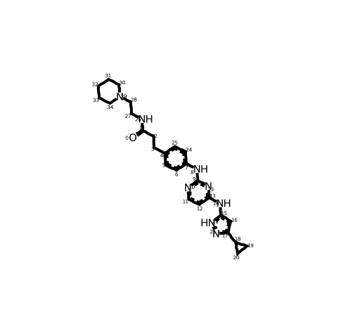 O=C(CCc1ccc(Nc2nccc(Nc3cc(C4CC4)n[nH]3)n2)cc1)NCCN1CCCCC1